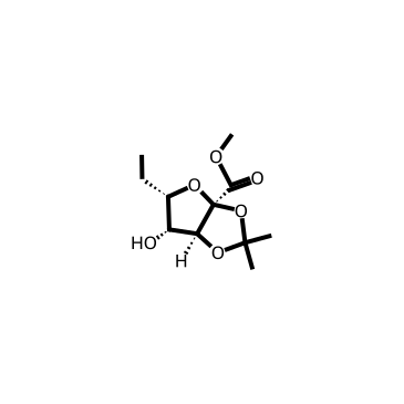 CC[C@@H]1O[C@@]2(C(=O)OC)OC(C)(C)O[C@H]2[C@@H]1O